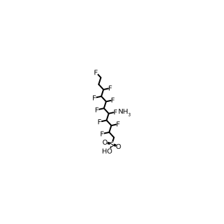 N.O=S(=O)(O)CC(F)C(F)C(F)C(F)C(F)C(F)C(F)C(F)CCF